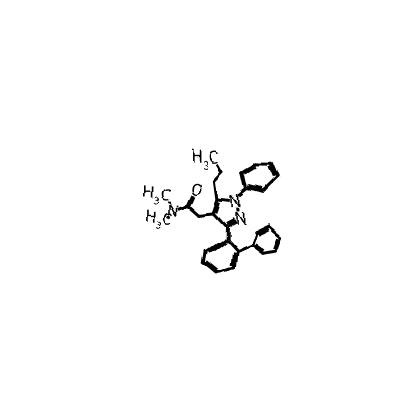 CCCc1c(CC(=O)N(C)C)c(-c2ccccc2-c2ccccc2)nn1-c1ccccc1